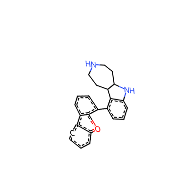 c1cc2c(c(-c3cccc4c3oc3ccccc34)c1)C1CCNCCC1N2